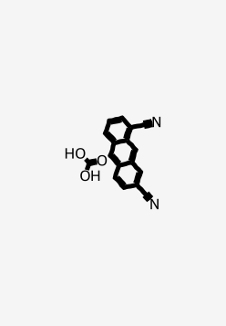 N#Cc1ccc2cc3cccc(C#N)c3cc2c1.O=C(O)O